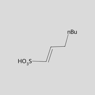 CCCCCC=CS(=O)(=O)O